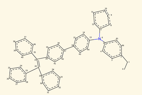 CCc1ccc(N(c2ccccc2)c2ccc(-c3ccc(C(=C(c4ccccc4)c4ccccc4)c4ccccc4)cc3)cc2)cc1